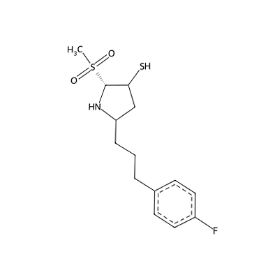 CS(=O)(=O)[C@H]1NC(CCCc2ccc(F)cc2)CC1S